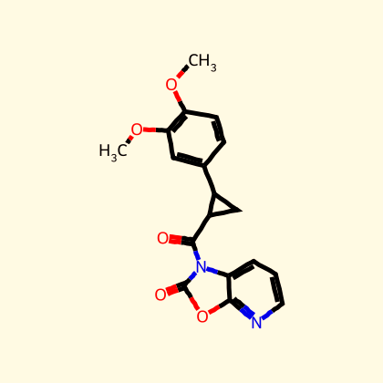 COc1ccc(C2CC2C(=O)n2c(=O)oc3ncccc32)cc1OC